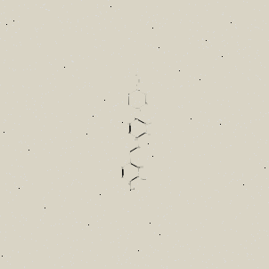 CCC[C@H]1CC[C@H](c2ccc(C=Cc3ccc(Cl)c(F)c3)cc2)CC1